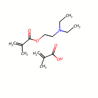 C=C(C)C(=O)O.C=C(C)C(=O)OCCN(CC)CC